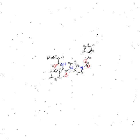 CNC(C)C(=O)NC(C(=O)N1CC=C2C1CCN2C(=O)OCc1ccccc1)C1CCCCC1